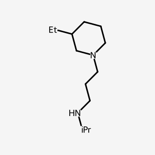 CCC1CCCN(CCCNC(C)C)C1